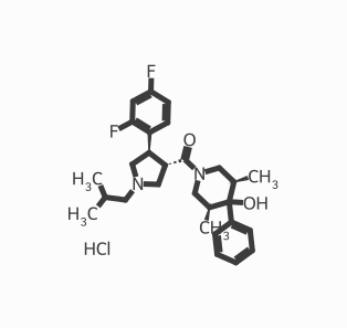 CC(C)CN1C[C@@H](C(=O)N2C[C@@H](C)C(O)(c3ccccc3)[C@@H](C)C2)[C@H](c2ccc(F)cc2F)C1.Cl